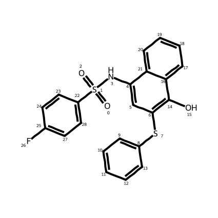 O=S(=O)(Nc1cc(Sc2ccccc2)c(O)c2ccccc12)c1ccc(F)cc1